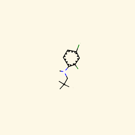 CN(CC(C)(C)C#N)c1ccc(Br)cc1F